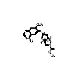 COc1cc2ncnc(Cl)c2cc1O[C@H]1C[C@@H]2CN(C(=O)OC(C)(C)C)C[C@@H]2C1